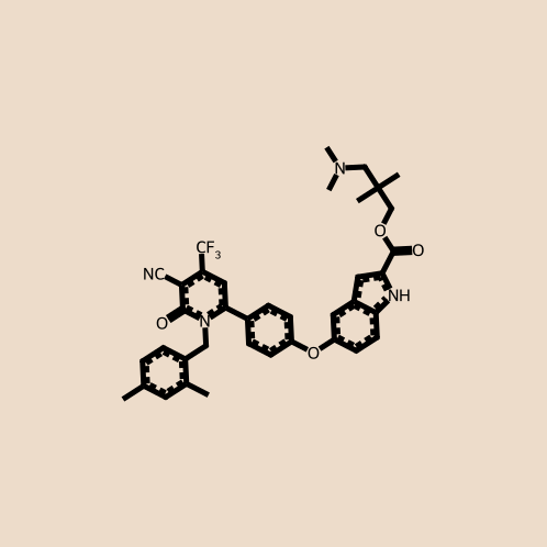 Cc1ccc(Cn2c(-c3ccc(Oc4ccc5[nH]c(C(=O)OCC(C)(C)CN(C)C)cc5c4)cc3)cc(C(F)(F)F)c(C#N)c2=O)c(C)c1